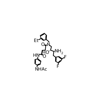 CCc1cccc(CN(C[C@@H](O)[C@@H](N)Cc2cc(F)cc(F)c2)C(=O)CCC(=O)Nc2ccc(NC(C)=O)cc2)c1